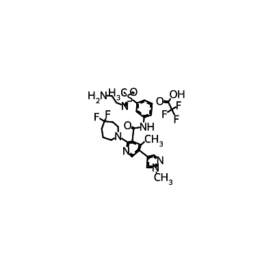 Cc1c(-c2cnn(C)c2)cnc(N2CCCC(F)(F)CC2)c1C(=O)Nc1cccc([S@@](C)(=O)=NCCN)c1.O=C(O)C(F)(F)F